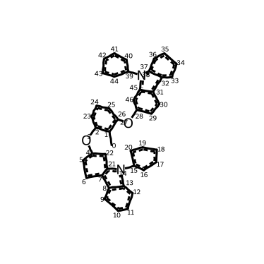 Cc1c(Oc2ccc3c4ccccc4n(-c4ccccc4)c3c2)cccc1Oc1ccc2c3ccccc3n(-c3ccccc3)c2c1